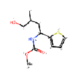 CC(CO)CC(NC(=O)OC(C)(C)C)c1cccs1